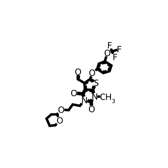 Cn1c(=O)n(CCCOC2CCCCO2)c(=O)c2c(C=O)c(Oc3cccc(OC(F)(F)F)c3)sc21